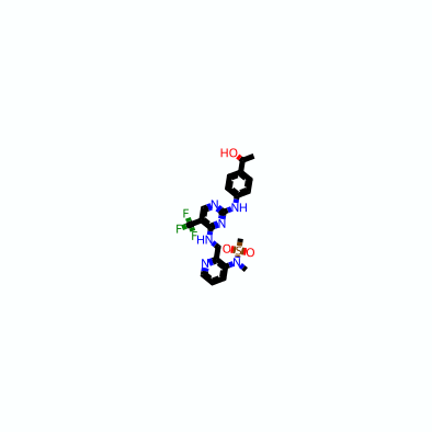 CC(O)c1ccc(Nc2ncc(C(F)(F)F)c(NCc3ncccc3N(C)S(C)(=O)=O)n2)cc1